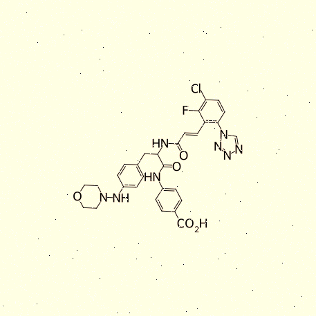 O=C(/C=C/c1c(-n2cnnn2)ccc(Cl)c1F)NC(Cc1ccc(NN2CCOCC2)cc1)C(=O)Nc1ccc(C(=O)O)cc1